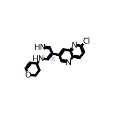 N=C/C(=C\NC1C=COCC1)c1cnc2ccc(Cl)nc2c1